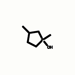 CC1CC[P](C)(O)C1